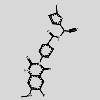 CNc1cc2[nH]c(=O)n(-c3ccc(C(=O)NC(C#N)c4ccc(Cl)s4)cc3)c(=O)c2cc1F